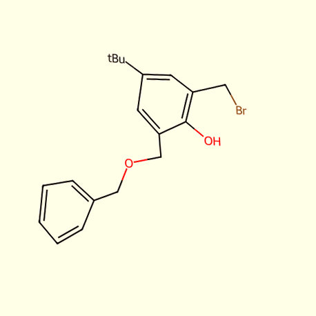 CC(C)(C)c1cc(CBr)c(O)c(COCc2ccccc2)c1